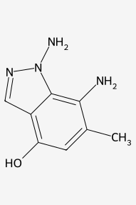 Cc1cc(O)c2cnn(N)c2c1N